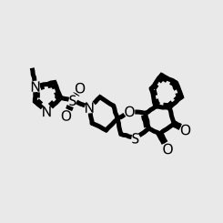 Cn1cnc(S(=O)(=O)N2CCC3(CC2)CSC2=C(O3)c3ccccc3C(=O)C2=O)c1